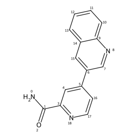 NC(=O)c1cc(-c2cnc3ccccc3c2)ccn1